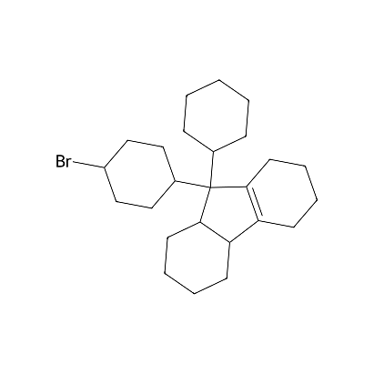 BrC1CCC(C2(C3CCCCC3)C3=C(CCCC3)C3CCCCC32)CC1